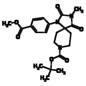 COC(=O)c1ccc(N2C(=O)N(C)C(=O)C23CCN(C(=O)OC(C)(C)C)CC3)cc1